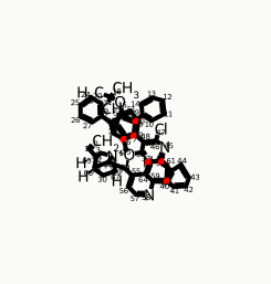 C=C[C@H]1C[N+]2(Cc3cc(-c4ccccc4)c(OC(C)(C)C)c(-c4ccccc4)c3)CC[C@H]1C[C@@H]2[C@@H](Oc1nc(-c2ccccc2)nc(Cl)c1-c1ccccc1)c1ccnc2ccccc12